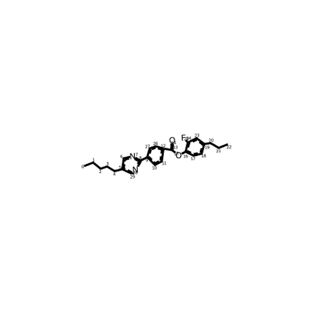 CCCCCc1cnc(-c2ccc(C(=O)Oc3ccc(CCC)cc3F)cc2)nc1